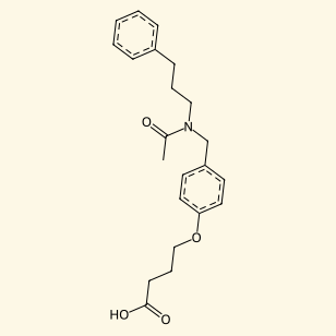 CC(=O)N(CCCc1ccccc1)Cc1ccc(OCCCC(=O)O)cc1